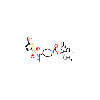 CC(C)(C)OC(=O)N1CCC(NS(=O)(=O)c2ccc(Br)s2)CC1